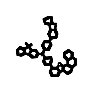 CC1(C)c2ccccc2-c2ccc(N(c3ccc(-c4ccc5sc6ccccc6c5c4)cc3)c3ccc(-c4cccc5c4oc4c5ccc5ccc6ccccc6c54)cc3)cc21